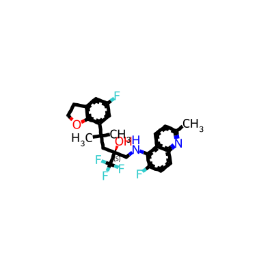 Cc1ccc2c(NC[C@@](O)(CC(C)(C)c3cc(F)cc4c3OCC4)C(F)(F)F)c(F)ccc2n1